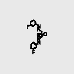 O=S(=O)(CN=Nc1cccc(F)c1)CN=Nc1cccc(F)c1